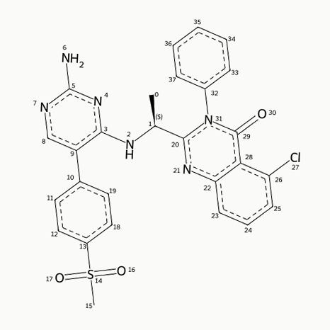 C[C@H](Nc1nc(N)ncc1-c1ccc(S(C)(=O)=O)cc1)c1nc2cccc(Cl)c2c(=O)n1-c1ccccc1